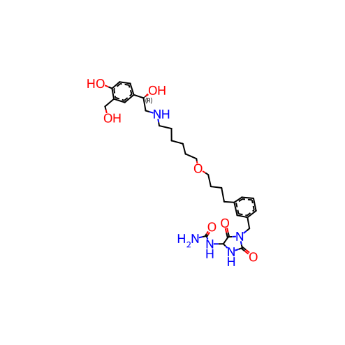 NC(=O)NC1NC(=O)N(Cc2cccc(CCCCOCCCCCCNC[C@H](O)c3ccc(O)c(CO)c3)c2)C1=O